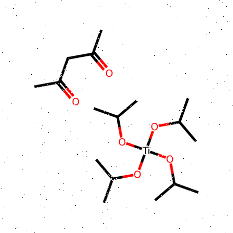 CC(=O)CC(C)=O.CC(C)[O][Ti]([O]C(C)C)([O]C(C)C)[O]C(C)C